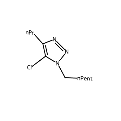 CCCCCCn1nnc(CCC)c1Cl